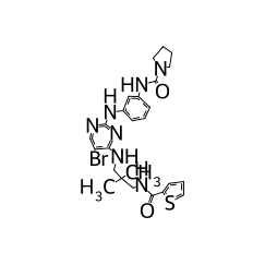 CC(C)(CNC(=O)c1cccs1)CNc1nc(Nc2cccc(NC(=O)N3CCCC3)c2)ncc1Br